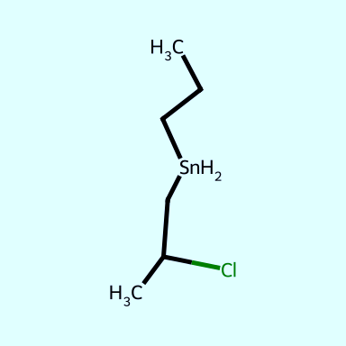 CC[CH2][SnH2][CH2]C(C)Cl